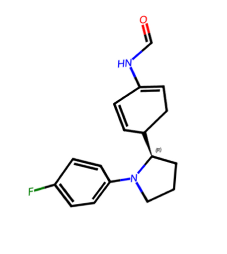 O=CNC1=CCC([C@H]2CCCN2c2ccc(F)cc2)C=C1